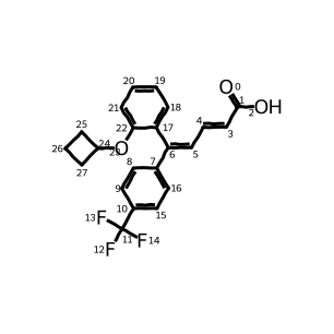 O=C(O)/C=C/C=C(/c1ccc(C(F)(F)F)cc1)c1ccccc1OC1CCC1